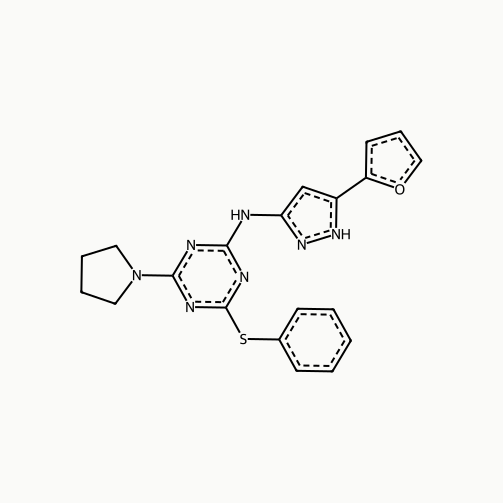 c1ccc(Sc2nc(Nc3cc(-c4ccco4)[nH]n3)nc(N3CCCC3)n2)cc1